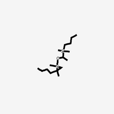 CCCCC1(C)C[Si]1(C)OC(C)[Si](C)(C)CCCC